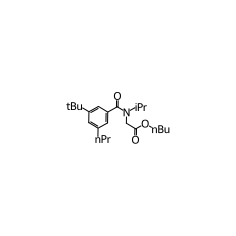 CCCCOC(=O)CN(C(=O)c1cc(CCC)cc(C(C)(C)C)c1)C(C)C